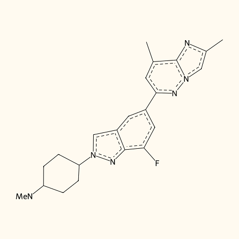 CNC1CCC(n2cc3cc(-c4cc(C)c5nc(C)cn5n4)cc(F)c3n2)CC1